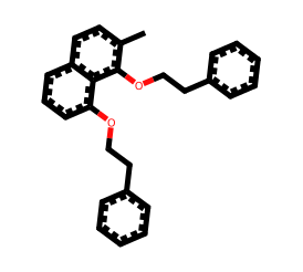 Cc1ccc2cccc(OCCc3ccccc3)c2c1OCCc1ccccc1